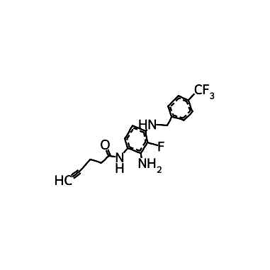 C#CCCC(=O)Nc1ccc(NCc2ccc(C(F)(F)F)cc2)c(F)c1N